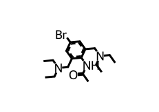 CCN(CC)Cc1cc(Br)cc(CN(CC)CC)c1NC(C)=O